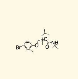 Cc1cc(Br)ccc1OC[C@](C)(CC(C)C)OC(=O)NC(C)(C)C